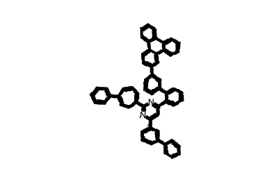 C1=CC(c2ccccc2)=CCC(c2nc(-c3cccc(-c4ccccc4)c3)cc(-c3ccccc3-c3cccc(-c4ccc5c6ccccc6c6ccccc6c5c4)c3)n2)=C1